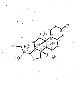 C[C@H](CC#N)[C@H]1CC[C@H]2[C@@H]3[C@@H](O)CC4C[C@H](O)CC[C@]4(C)[C@H]3CC[C@]12C